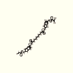 C=CC(=O)OCC1CC2C3CC(OCC(=O)CCCCCCCCC(=O)OCC4CC5C6CC(COC(=O)C(=C)C)C(C6)C5C4)C(C3)C2C1